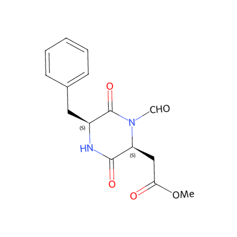 COC(=O)C[C@H]1C(=O)N[C@@H](Cc2ccccc2)C(=O)N1C=O